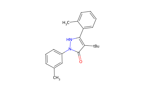 Cc1cccc(-n2[nH]c(-c3ccccc3C)c(C(C)(C)C)c2=O)c1